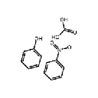 O=C(O)O.O=[N+]([O-])c1ccccc1.Oc1ccccc1